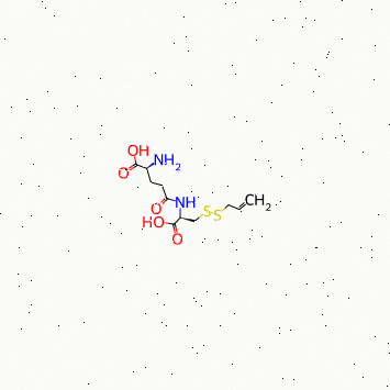 C=CCSSC[C@H](NC(=O)CC[C@H](N)C(=O)O)C(=O)O